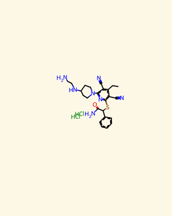 CCc1c(C#N)c(SC(C(N)=O)c2ccccc2)nc(N2CCC(NCCN)CC2)c1C#N.Cl.Cl